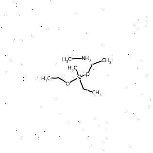 CCO[Si](C)(CC)OCC.CN